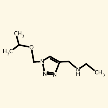 CCNCc1cn(COC(C)C)nn1